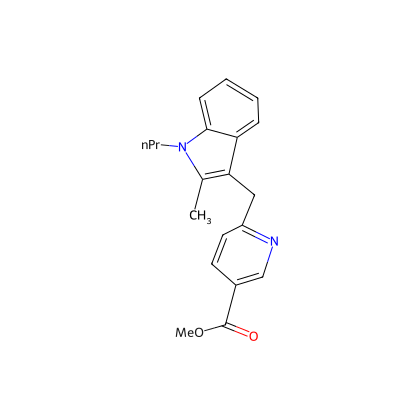 CCCn1c(C)c(Cc2ccc(C(=O)OC)cn2)c2ccccc21